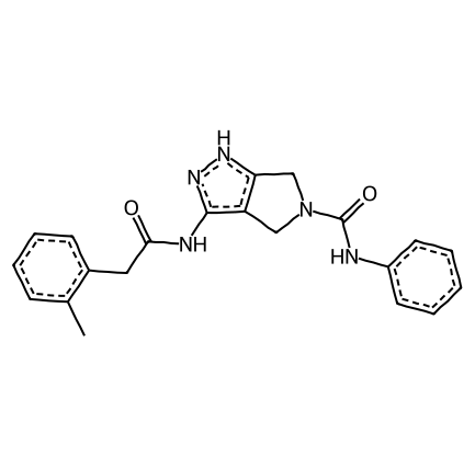 Cc1ccccc1CC(=O)Nc1n[nH]c2c1CN(C(=O)Nc1ccccc1)C2